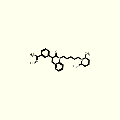 CC1CCCC(C)N1CCCCCN1C(=O)C(c2cccc(C(N)=NO)c2)Cc2ccccc21